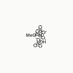 COCCCOc1c(-c2cc(C)cc(-n3c4ccccc4c4ccccc43)c2O)cc(C)cc1-c1cc(C)cc(-n2c3ccccc3c3ccccc32)c1O